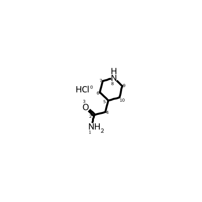 Cl.NC(=O)CC1CCNCC1